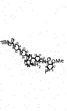 COc1ccc(F)cc1C(=O)NCc1ccc(-c2nn(C3CCN(C4CCN(C(=O)OC(C)(C)C)CC4)CC3)c3ncnc(N)c23)cc1